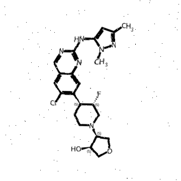 Cc1cc(Nc2ncc3cc(Cl)c([C@@H]4CCN([C@H]5COC[C@H]5O)C[C@H]4F)cc3n2)n(C)n1